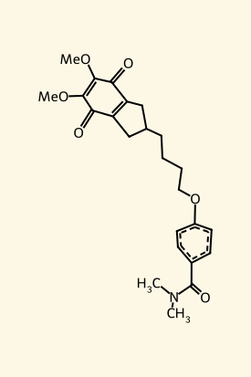 COC1=C(OC)C(=O)C2=C(CC(CCCCOc3ccc(C(=O)N(C)C)cc3)C2)C1=O